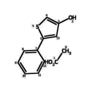 CC(=O)O.Oc1csc(-c2ccccc2)c1